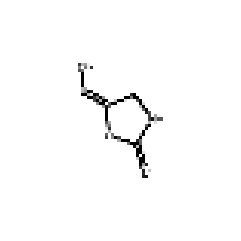 O=C1NCC(=CO)O1